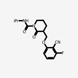 CC(C)NC(=O)N1CCCC(COc2cccc(F)c2C#N)C1=O